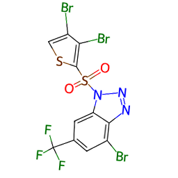 O=S(=O)(c1scc(Br)c1Br)n1nnc2c(Br)cc(C(F)(F)F)cc21